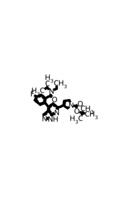 CCN(C(=O)c1cc(F)ccc1-c1cc(C2=CCN(C(=O)OC(C)(C)C)C2)nc2[nH]ncc12)C(C)C